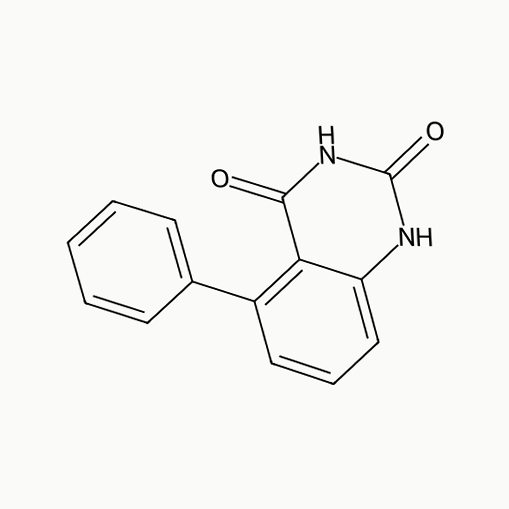 O=c1[nH]c(=O)c2c(-c3ccccc3)cccc2[nH]1